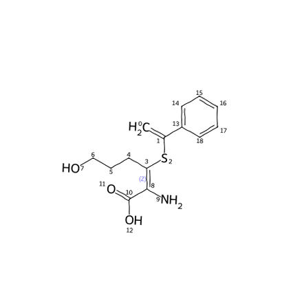 C=C(S/C(CCCO)=C(\N)C(=O)O)c1ccccc1